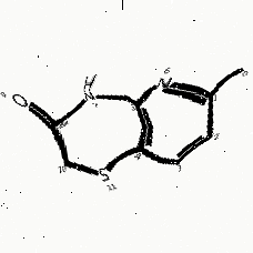 Cc1ccc2c(n1)NC(=O)CS2